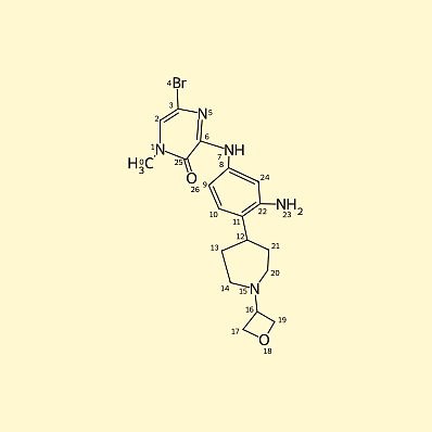 Cn1cc(Br)nc(Nc2ccc(C3CCN(C4COC4)CC3)c(N)c2)c1=O